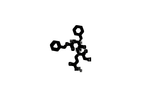 NC(=O)CCN(NC(=O)[C@@H](CC1CCCCC1)NC(=O)OCc1ccccc1)C(=O)CCl